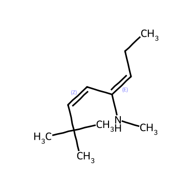 CC/C=C(\C=C/C(C)(C)C)NC